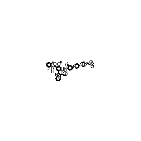 CCOc1ccc(C2N=C3C=CC=CN3C2c2ccnc(Nc3ccc(N4CCC(N5CCN(CCS(C)(=O)=O)CC5)CC4)cc3OC)n2)cc1C(=O)Nc1c(F)cccc1F